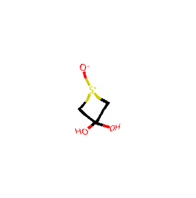 [O-][S+]1CC(O)(O)C1